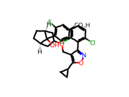 O=C(O)c1ccc(C2(O)[C@@H]3CC[C@H]2CC(OCc2c(-c4c(Cl)cccc4Cl)noc2C2CC2)C3)c(F)c1